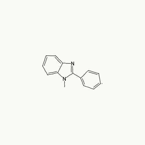 Cn1c(-c2cc[c]cc2)nc2ccccc21